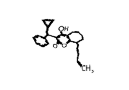 C=CCCC1CCCCc2c1oc(=O)c(C(c1ccccc1)C1CC1)c2O